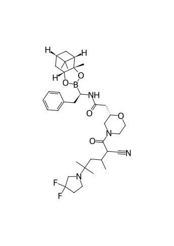 CC(CC(C)(C)N1CCC(F)(F)C1)C(C#N)C(=O)N1CCO[C@@H](CC(=O)N[C@@H](Cc2ccccc2)B2O[C@@H]3C[C@@H]4C[C@@H](C4(C)C)[C@]3(C)O2)C1